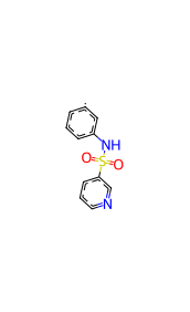 O=S(=O)(Nc1c[c]ccc1)c1cccnc1